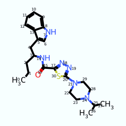 CCCC(Cc1c[nH]c2ccccc12)NC(=O)c1nnc(N2CCN(C(C)C)CC2)s1